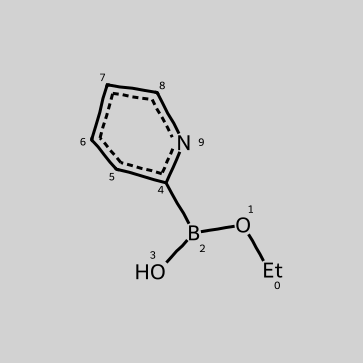 CCOB(O)c1ccccn1